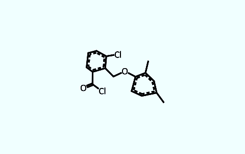 Cc1ccc(OCc2c(Cl)cccc2C(=O)Cl)c(C)c1